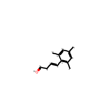 Cc1cc(C)c(C=CCC=O)c(C)c1